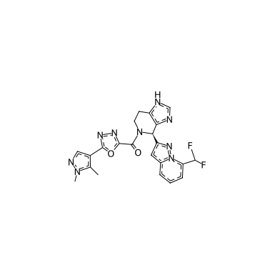 Cc1c(-c2nnc(C(=O)N3CCc4[nH]cnc4[C@H]3c3cc4cccc(C(F)F)n4n3)o2)cnn1C